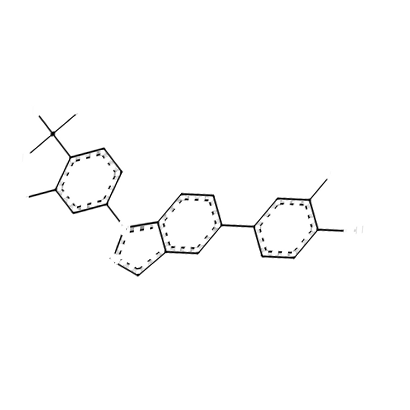 Oc1ccc(-c2ccc3c(cnn3-c3ccc(C(F)(F)F)c(O)c3)c2)cc1Cl